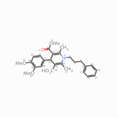 COC(=O)C1=C(C)N(CCCc2ccccc2)C(C)=C(C(=O)O)C1c1ccc(OC)c(OC)c1